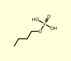 CCCC[O][V](=[O])([OH])[OH]